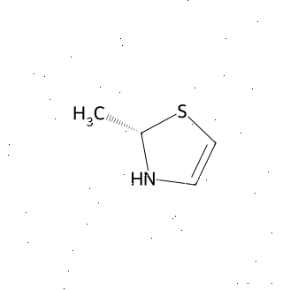 C[C@H]1NC=CS1